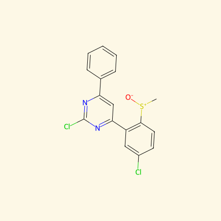 C[S+]([O-])c1ccc(Cl)cc1-c1cc(-c2ccccc2)nc(Cl)n1